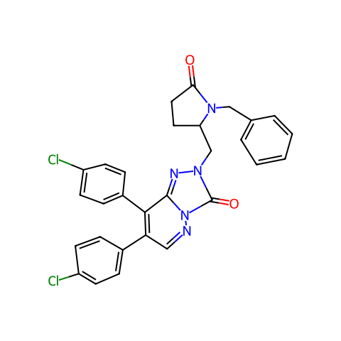 O=C1CCC(Cn2nc3c(-c4ccc(Cl)cc4)c(-c4ccc(Cl)cc4)cnn3c2=O)N1Cc1ccccc1